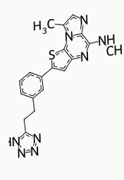 CNc1nc2cc(-c3cccc(CCc4nnn[nH]4)c3)sc2n2c(C)cnc12